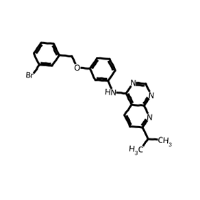 CC(C)c1ccc2c(Nc3cccc(OCc4cccc(Br)c4)c3)ncnc2n1